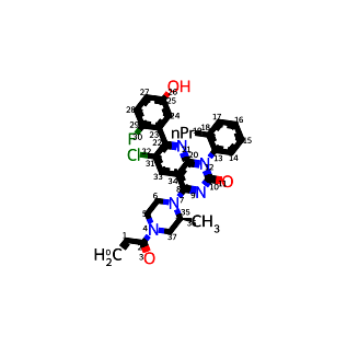 C=CC(=O)N1CCN(c2nc(=O)n(-c3ccccc3CCC)c3nc(-c4cc(O)ccc4F)c(Cl)cc23)[C@@H](C)C1